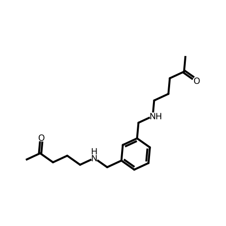 CC(=O)CCCNCc1cccc(CNCCCC(C)=O)c1